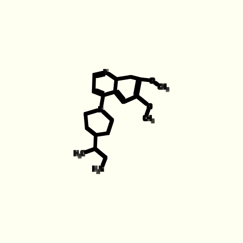 COC1=C(OC)CC2N=CC=C(N3CCC(C(C)CN)CC3)C2=C1